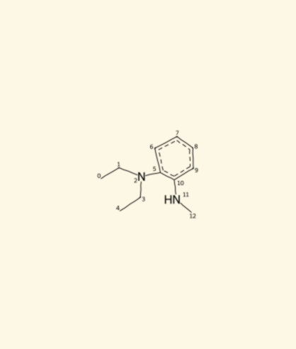 CCN(CC)c1ccccc1NC